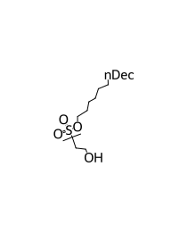 CCCCCCCCCCCCCCCCOS(=O)(=O)C(C)(C)CCO